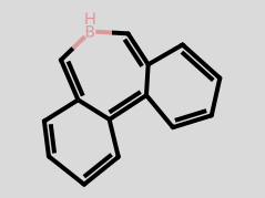 B1C=c2ccccc2=c2ccccc2=C1